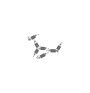 [P]#[Ce].[P]#[Co](#[P])#[P].[P]#[Ni]#[P].[P]#[W]